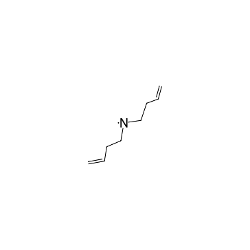 C=CCC[N]CCC=C